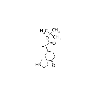 CC(C)(C)OC(=O)N[C@H]1CCC(=O)[C@]2(CCNC2)C1